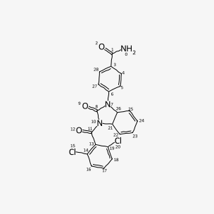 NC(=O)c1ccc(N2C(=O)N(C(=O)c3c(Cl)cccc3Cl)C3C=CC=CC32)cc1